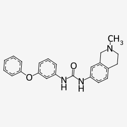 CN1CCc2ccc(NC(=O)Nc3cccc(Oc4ccccc4)c3)cc2C1